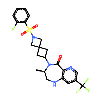 C[C@@H]1CNc2cc(C(F)(F)F)cnc2C(=O)N1C1CC2(C1)CN(S(=O)(=O)c1ccccc1F)C2